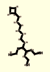 SCSC(SCS)C(SCS)SCSSCSCC1SCS1